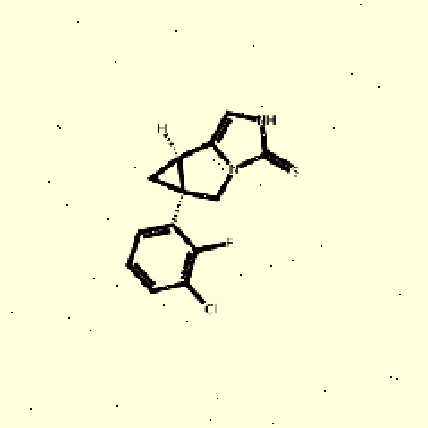 Fc1c(Cl)cccc1[C@]12C[C@H]1c1c[nH]c(=S)n1C2